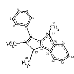 CC1=C(c2ccccc2)c2c(c3ccccc3n2C)C1C